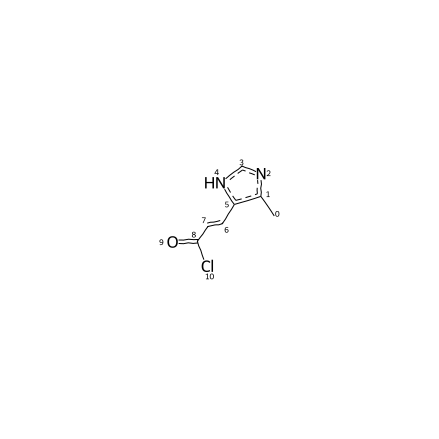 Cc1nc[nH]c1/C=C/C(=O)Cl